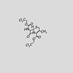 CC1=C(C(=O)OCC(Cl)(Cl)Cl)N2C(=O)[C@@H](NC(=O)OCC(Cl)(Cl)Cl)[C@H]2SC1